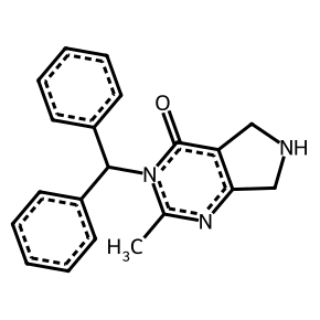 Cc1nc2c(c(=O)n1C(c1ccccc1)c1ccccc1)CNC2